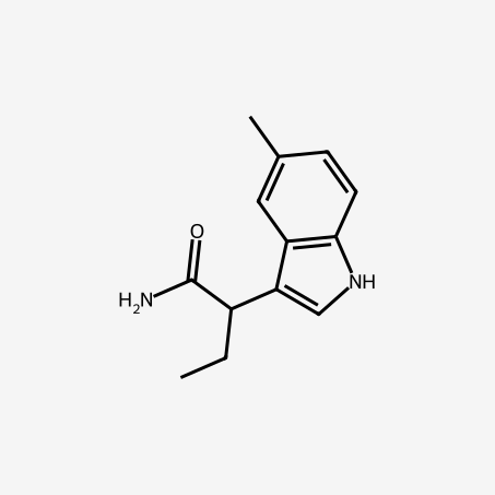 CCC(C(N)=O)c1c[nH]c2ccc(C)cc12